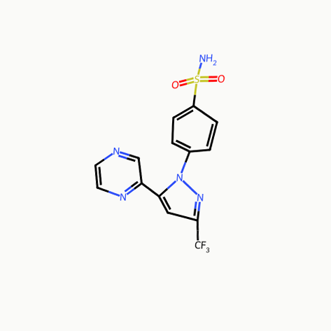 NS(=O)(=O)c1ccc(-n2nc(C(F)(F)F)cc2-c2cnccn2)cc1